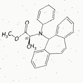 COC(=O)[C@H](C)N(C1C=CCC=C1)C1c2ccccc2C=Cc2ccccc21